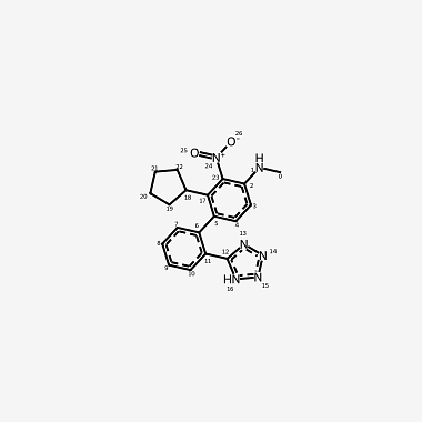 CNc1ccc(-c2ccccc2-c2nnn[nH]2)c(C2CCCC2)c1[N+](=O)[O-]